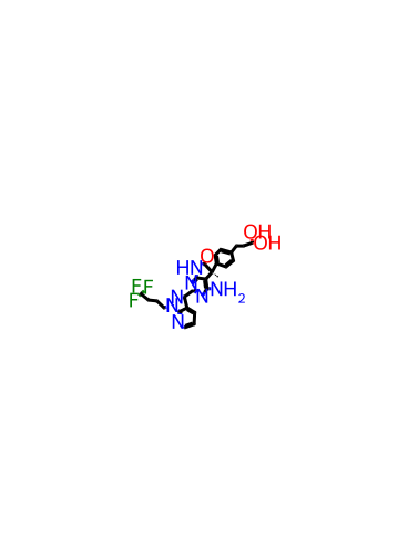 C[C@@]1(c2ccc(CCC(O)O)cc2)C(=O)Nc2nc(-c3nn(CCCC(F)(F)F)c4ncccc34)nc(N)c21